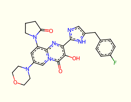 O=C1CCCN1c1cc(N2CCOCC2)cn2c(=O)c(O)c(-c3ncc(Cc4ccc(F)cc4)[nH]3)nc12